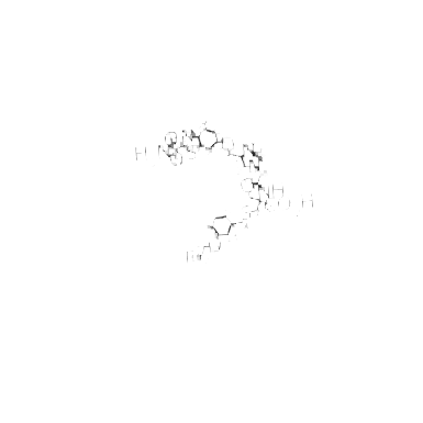 CC(CSCc1cccc(OCCF)c1)(NC(=O)Cn1cc(COc2ccc3nc(S(N)(=O)=O)sc3c2)nn1)C(=O)O